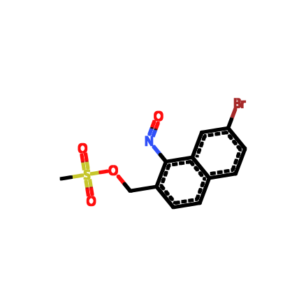 CS(=O)(=O)OCc1ccc2ccc(Br)cc2c1N=O